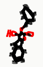 O=c1oc2c(c(O)c1OCc1ccccc1)Cc1ccccc1-2